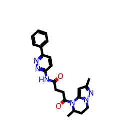 Cc1cc2n(n1)CCC(C)N2C(=O)CCC(=O)Nc1ccc(-c2ccccc2)nn1